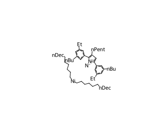 CCCCCC1=C(c2cc(CC)cc(CCCC)c2)[N+](=[N-])C(c2cc(CC)cc(CCCC)c2)=C1.CCCCCCCCCCCCCCC[CH2][Ni][CH2]CCCCCCCCCCCCCCC